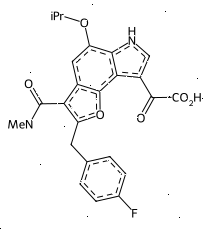 CNC(=O)c1c(Cc2ccc(F)cc2)oc2c1cc(OC(C)C)c1[nH]cc(C(=O)C(=O)O)c12